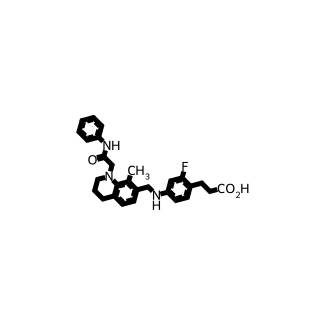 Cc1c(CNc2ccc(CCC(=O)O)c(F)c2)ccc2c1N(CC(=O)Nc1ccccc1)CCC2